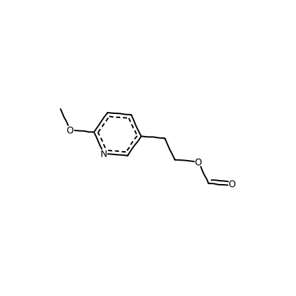 COc1ccc(CCOC=O)cn1